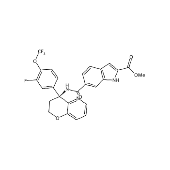 COC(=O)c1cc2ccc(C(=O)N[C@]3(c4ccc(OC(F)(F)F)c(F)c4)CCOc4cccnc43)cc2[nH]1